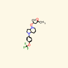 CC(=O)CC(C)ON1CCCC2C1CCN2c1ccc(OC(F)(F)F)cc1